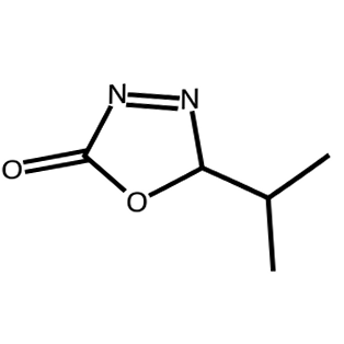 CC(C)C1N=NC(=O)O1